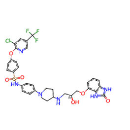 O=c1[nH]c2cccc(OC[C@@H](O)CNC3CCN(c4ccc(NS(=O)(=O)c5ccc(Oc6ncc(C(F)(F)F)cc6Cl)cc5)cc4)CC3)c2[nH]1